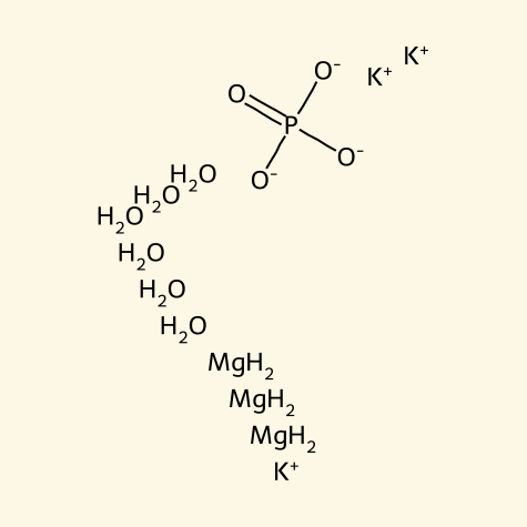 O.O.O.O.O.O.O=P([O-])([O-])[O-].[K+].[K+].[K+].[MgH2].[MgH2].[MgH2]